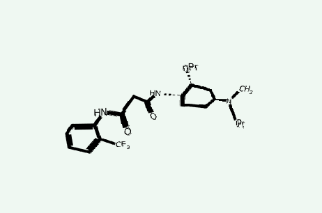 CCC[C@@H]1C[C@@H](N(C)C(C)C)CC[C@@H]1NC(=O)CC(=O)Nc1ccccc1C(F)(F)F